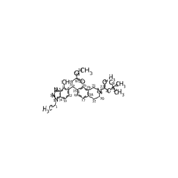 CCn1nnc2c(C)c(C(CC(=O)OC)c3ccc4c(c3)CN(C(=O)OC(C)(C)C)CC4)ccc21